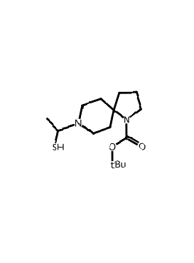 CC(S)N1CCC2(CCCN2C(=O)OC(C)(C)C)CC1